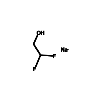 OCC(F)F.[Na]